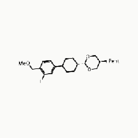 CCCCC[C@H]1CO[C@H](C2CCC(c3ccc(COC)c(F)c3)CC2)OC1